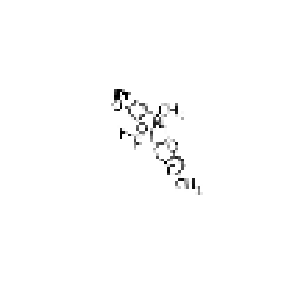 C=C(c1ccc(OC(C)C)cc1OC(F)F)N1CCC2(CCc3cc(C)c#cc3O2)CC1